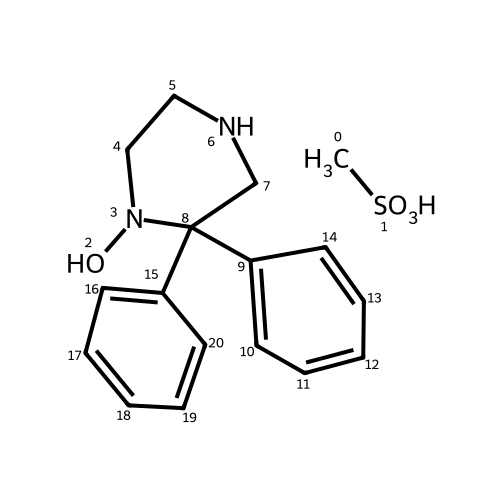 CS(=O)(=O)O.ON1CCNCC1(c1ccccc1)c1ccccc1